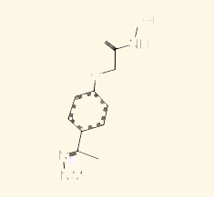 CN/N=C(\C)c1ccc(OCC(=O)NO)cc1